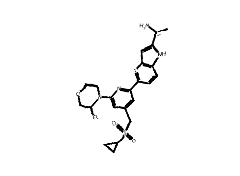 CCC1COCCN1c1cc(CS(=O)(=O)C2CC2)cc(-c2ccc3[nH]c([C@H](C)N)cc3n2)n1